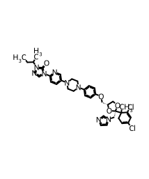 CCC(C)n1ncn(-c2ccc(N3CCN(c4ccc(OC[C@@H]5CO[C@@](Cn6ccnc6)(C6(C)CC=C(Cl)C=C6Cl)O5)cc4)CC3)cn2)c1=O